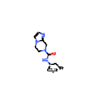 CCOC(=O)[C@H](CC(C)C)NC(=O)N1CCn2ccnc2C1